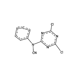 N#CN(c1ccccc1)c1nc(Cl)nc(Cl)n1